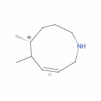 CC1/C=C\CNCCC[C@H]1C